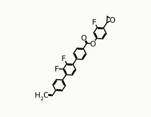 C=Cc1ccc(-c2ccc(-c3ccc(C(=O)Oc4ccc(C5CO5)c(F)c4)cc3)c(F)c2F)cc1